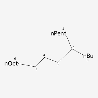 [CH2]CCCC(CCCCC)CCCCCCCCCCC